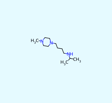 CC(C)NCCCCN1CCN(C)CC1